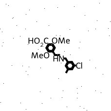 COc1cc(C(=O)O)c(OC)cc1CCNCc1cc(C)cc(Cl)c1